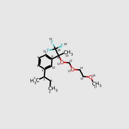 CCC(C)c1cccc(C(C)(OCOCCOC)C(F)(F)F)c1